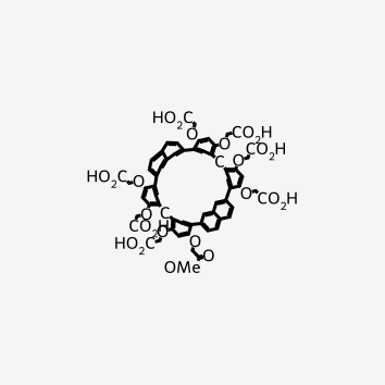 COC(=O)COc1cc(OCC(=O)O)c2cc1-c1ccc3ccc(cc3c1)-c1cc(c(OCC(=O)O)cc1OCC(=O)O)Cc1cc(c(OCC(=O)O)cc1OCC(=O)O)-c1ccc3ccc(cc3c1)-c1cc(c(OCC(=O)O)cc1OCC(=O)O)C2